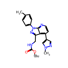 Cc1ccc(-n2nc(CNC(=O)OC(C)(C)C)c3c(-c4cnn(C)c4)ccnc32)cc1